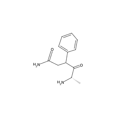 C[C@H](N)C(=O)C(CC(N)=O)c1ccccc1